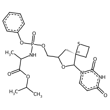 CC(C)OC(=O)C(C)NP(=O)(OCC1C[C@]2(CCS2)C(n2ccc(=O)[nH]c2=O)O1)Oc1ccccc1